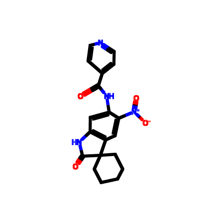 O=C(Nc1cc2c(cc1[N+](=O)[O-])C1(CCCCC1)C(=O)N2)c1ccncc1